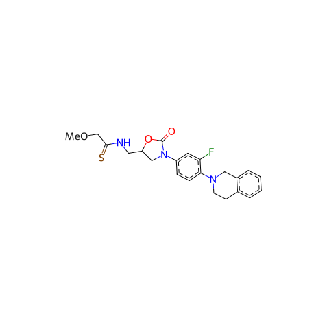 COCC(=S)NCC1CN(c2ccc(N3CCc4ccccc4C3)c(F)c2)C(=O)O1